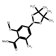 CCOc1cc(B2OC(C)(C)C(C)(C)O2)cc(C)c1C(=O)OC